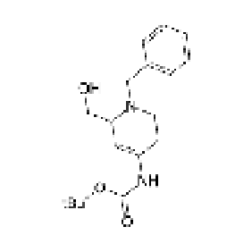 CC(C)(C)OC(=O)NC1=CC(CO)N(Cc2ccccc2)CC1